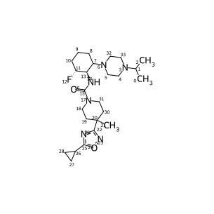 CC(C)N1CCN(C2CCC[C@@H](F)[C@@H]2NC(=O)N2CCC(C)(c3noc(C4CC4)n3)CC2)CC1